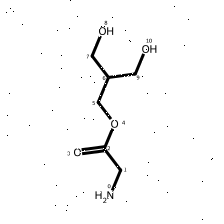 NCC(=O)OCC(CO)CO